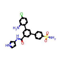 Nc1cc(Cl)ccc1-c1cc(C(=O)Nc2cc[nH]c2)cc(-c2ccc(S(N)(=O)=O)cc2)c1